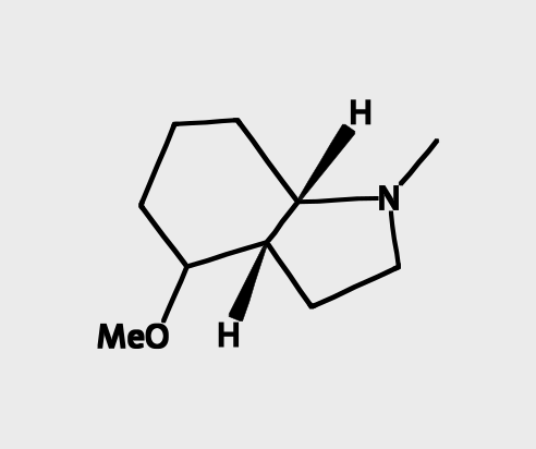 COC1CCC[C@H]2[C@@H]1CCN2C